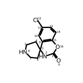 O=C1NC2(CCNCC2)c2cc(Cl)ccc2O1